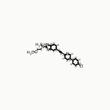 COCCN(C)c1nc2cc(C#Cc3ccc(-c4ccc(Cl)cc4)cn3)ccc2[nH]1